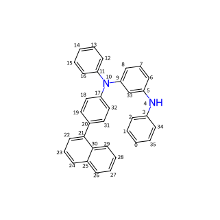 c1ccc(Nc2cccc(N(c3ccccc3)c3ccc(-c4cccc5ccccc45)cc3)c2)cc1